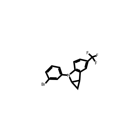 FC(F)(F)c1ccc2c(c1)C1CC1N2c1cccc(Br)c1